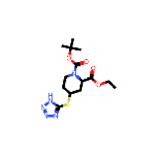 CCOC(=O)C1CC(Sc2nnn[nH]2)CCN1C(=O)OC(C)(C)C